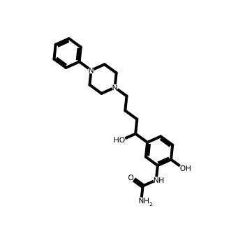 NC(=O)Nc1cc(C(O)CCCN2CCN(c3ccccc3)CC2)ccc1O